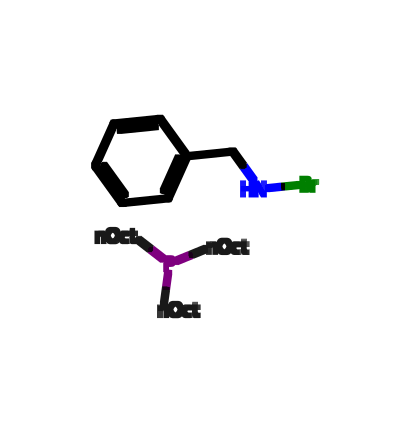 BrNCc1ccccc1.CCCCCCCCP(CCCCCCCC)CCCCCCCC